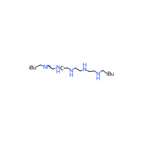 CCC(C)CNCCNCCNCCNCCNCC(C)CC